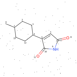 CC1CCC(C2=CC(=O)NC2=O)CC1